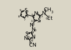 CCN(C)c1nc(-c2cccs2)c(/N=N/c2nc(C#N)ns2)s1